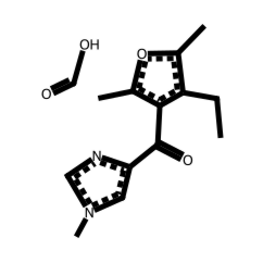 CCc1c(C)oc(C)c1C(=O)c1cn(C)cn1.O=CO